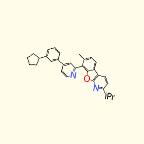 Cc1ccc2c(oc3nc(C(C)C)ccc32)c1-c1cc(-c2cccc(C3CCCC3)c2)ccn1